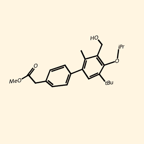 COC(=O)Cc1ccc(-c2cc(C(C)(C)C)c(OC(C)C)c(CO)c2C)cc1